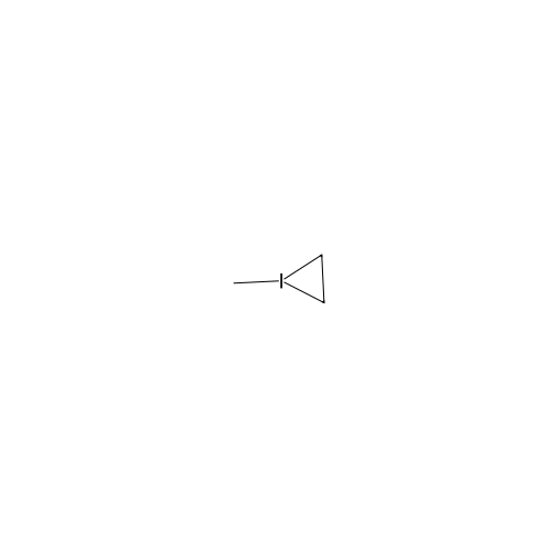 CI1CC1